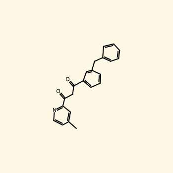 Cc1ccnc(C(=O)CC(=O)c2cccc(Cc3ccccc3)c2)c1